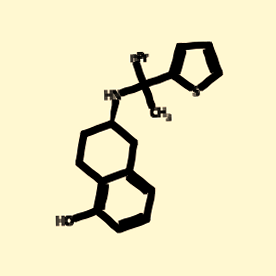 CCCC(C)(N[C@@H]1CCc2c(O)cccc2C1)c1cccs1